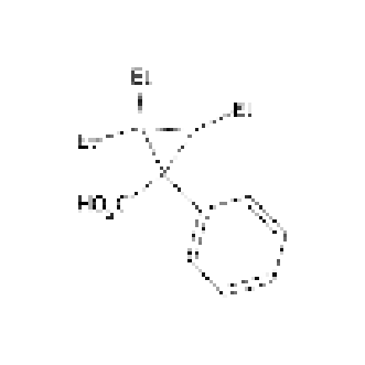 CCC1C(CC)(CC)C1(C(=O)O)c1ccccc1